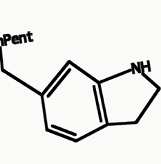 CCCCCCc1ccc2c(c1)NCC2